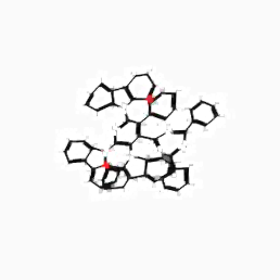 C1=Cc2c(c3ccccc3n2-c2nc(-n3c4ccccc4c4ccccc43)c(-n3c4c(c5ccccc53)CCC=C4)c(-c3nc(-c4ccccc4)nc(-c4ccccc4)n3)c2-c2ccccc2)CC1